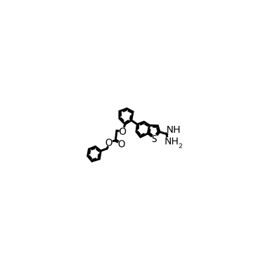 N=C(N)c1cc2cc(-c3ccccc3OCC(=O)OCc3ccccc3)ccc2s1